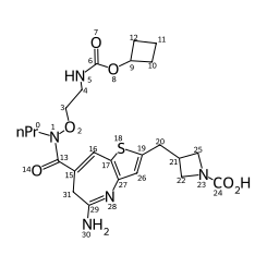 CCCN(OCCNC(=O)OC1CCC1)C(=O)C1=Cc2sc(CC3CN(C(=O)O)C3)cc2N=C(N)C1